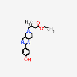 CCOC(=O)CC(C)CN1CCc2nc(-c3ccc(O)cc3)ncc2C1